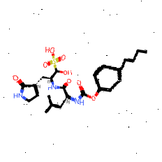 CCCCC1CCC(OC(=O)N[C@@H](CC(C)C)C(=O)N[C@@H](C[C@@H]2CCNC2=O)C(O)S(=O)(=O)O)CC1